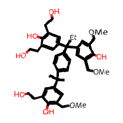 CCC(c1ccc(C(C)(C)c2cc(CCO)c(O)c(COC)c2)cc1)(c1cc(CCO)c(O)c(CCO)c1)c1cc(COC)c(O)c(COC)c1